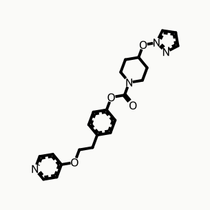 O=C(Oc1ccc(CCOc2ccncc2)cc1)N1CCC(On2cccn2)CC1